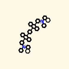 c1ccc(N(c2cccc(-c3c4ccccc4c(-c4ccc(-c5c6ccccc6c(-c6cccc(N(c7ccccc7)c7cccc8c7CCCC8)c6)c6ccccc56)cc4)c4ccccc34)c2)c2cccc3c2CCCC3)cc1